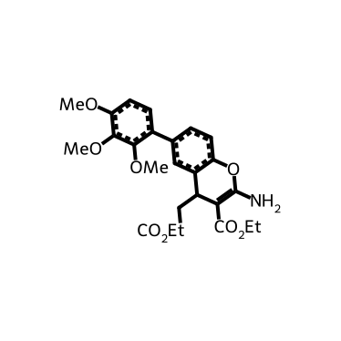 CCOC(=O)CC1C(C(=O)OCC)=C(N)Oc2ccc(-c3ccc(OC)c(OC)c3OC)cc21